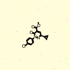 COC(=O)c1cc(C2CC2)nn(-c2ccc(Cl)cc2)c1=O